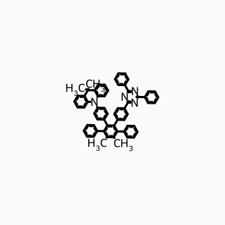 Cc1c(C)c(-c2ccccc2)c(-c2ccc(N3c4ccccc4C(C)(C)c4ccccc43)cc2)c(-c2ccc(-c3nc(-c4ccccc4)nc(-c4ccccc4)n3)cc2)c1-c1ccccc1